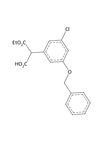 CCOC(=O)C(C(=O)O)c1cc(Cl)cc(OCc2ccccc2)c1